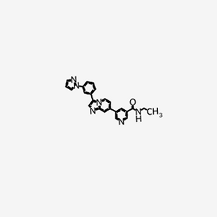 CCNC(=O)c1cncc(-c2ccn3c(-c4cccc(-n5cccn5)c4)cnc3c2)c1